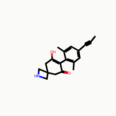 CC#Cc1cc(C)c(C2=C(O)CC3(CNC3)CC2=O)c(C)c1